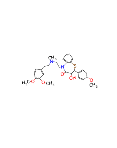 COc1ccc(C2Sc3ccccc3N(CCN(C)CCc3ccc(OC)c(OC)c3)C(=O)C2O)cc1